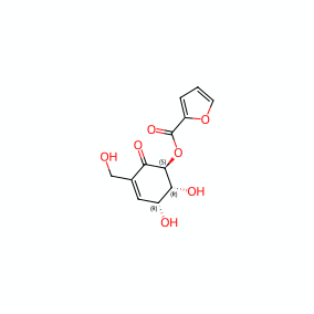 O=C(O[C@@H]1C(=O)C(CO)=C[C@@H](O)[C@H]1O)c1ccco1